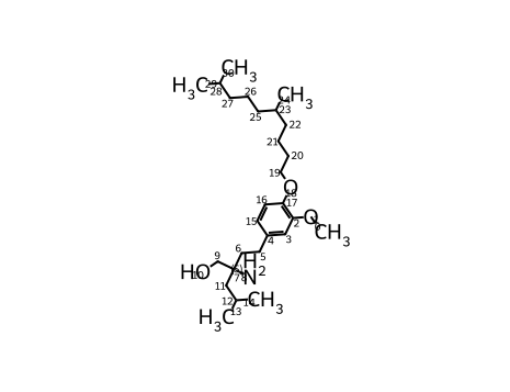 COc1cc(CC[C@@](N)(CO)CC(C)C)ccc1OCCCCC(C)CCCC(C)C